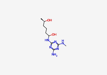 CNc1nc(N)nc(NC(O)CCC[C@@H](C)O)n1